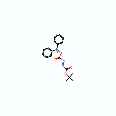 CC(C)(C)OC(=O)N=NC(=O)O[SiH](c1ccccc1)c1ccccc1